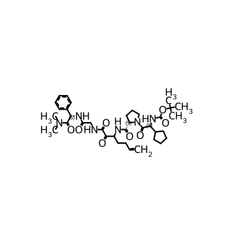 C=CCCC(NC(=O)[C@@H]1CCCN1C(=O)[C@@H](NC(=O)OC(C)(C)C)C1CCCC1)C(=O)C(=O)NCC(=O)N[C@H](C(=O)N(C)C)c1ccccc1